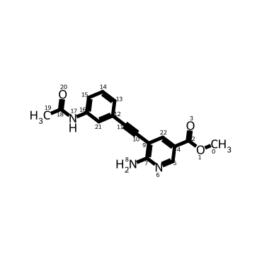 COC(=O)c1cnc(N)c(C#Cc2cccc(NC(C)=O)c2)c1